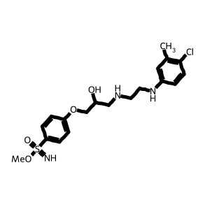 COS(=N)(=O)c1ccc(OCC(O)CNCCNc2ccc(Cl)c(C)c2)cc1